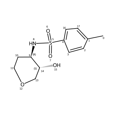 Cc1ccc(S(=O)(=O)N[C@@H]2CCOC[C@H]2O)cc1